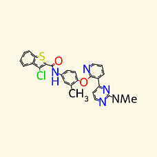 CNc1nccc(-c2cccnc2Oc2ccc(NC(=O)c3sc4ccccc4c3Cl)cc2C)n1